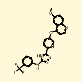 COc1ccc2nccc(Oc3ccc(-c4nnc(Nc5cccc(C(F)(F)F)c5)[nH]4)nc3)c2c1